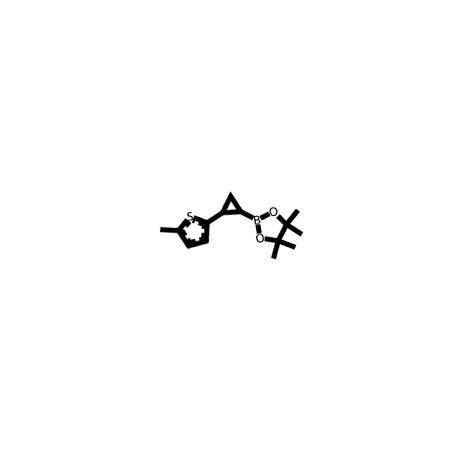 Cc1ccc(C2CC2B2OC(C)(C)C(C)(C)O2)s1